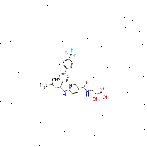 CC(C)CC(Nc1ccc(C(=O)NC[C@@H](O)C(=O)O)cn1)c1ccc(-c2ccc(C(F)(F)F)cc2)cc1